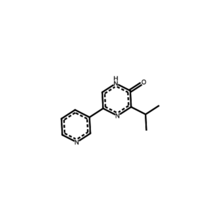 CC(C)c1nc(-c2cccnc2)c[nH]c1=O